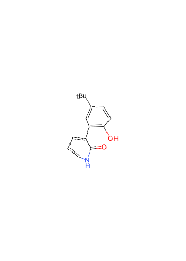 CC(C)(C)c1ccc(O)c(-c2ccc[nH]c2=O)c1